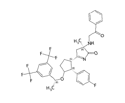 C[C@@H](OC1CC[C@H](C2=NC(=O)[C@](C)(NCC(=O)c3ccccc3)C2)[C@@H]1c1ccc(F)cc1)c1cc(C(F)(F)F)cc(C(F)(F)F)c1